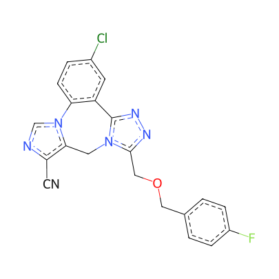 N#Cc1ncn2c1Cn1c(COCc3ccc(F)cc3)nnc1-c1cc(Cl)ccc1-2